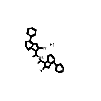 CC(C)C1=Cc2c(-c3ccccc3)cccc2C1C(C)[SiH2]C(C)C1C(C(C)C)=Cc2c(-c3ccccc3)cccc21.[Hf]